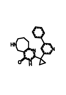 O=c1[nH]c(C2(c3cncc(-c4ccccc4)c3)CC2)nc2c1CNCCC2